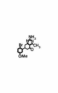 COc1ccc(Br)c(C2CC(=O)c3c(C)nc(N)nc3C2)c1